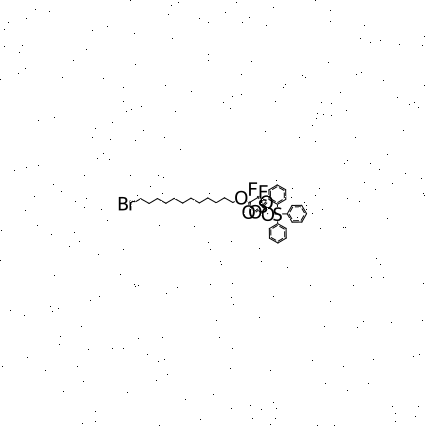 O=C(OCCCCCCCCCCCCBr)C(F)(F)S(=O)(=O)OS(c1ccccc1)(c1ccccc1)c1ccccc1